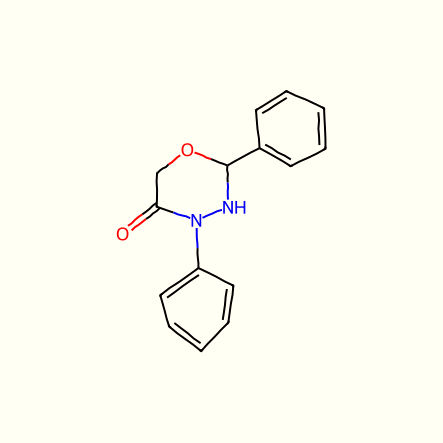 O=C1COC(c2ccccc2)NN1c1ccccc1